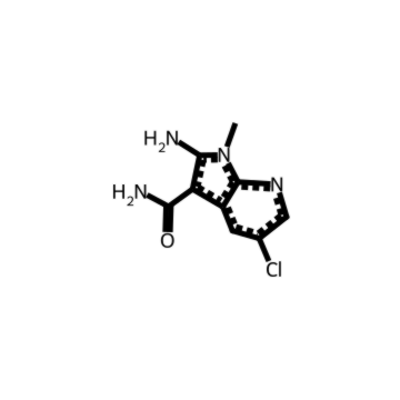 Cn1c(N)c(C(N)=O)c2cc(Cl)cnc21